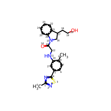 Cc1nsc(-c2ccc(C)c(NCC(=O)N3CC(CCO)c4ccccc43)c2)n1